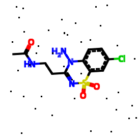 CC(=O)NCCC1=NS(=O)(=O)c2cc(Cl)ccc2N1N